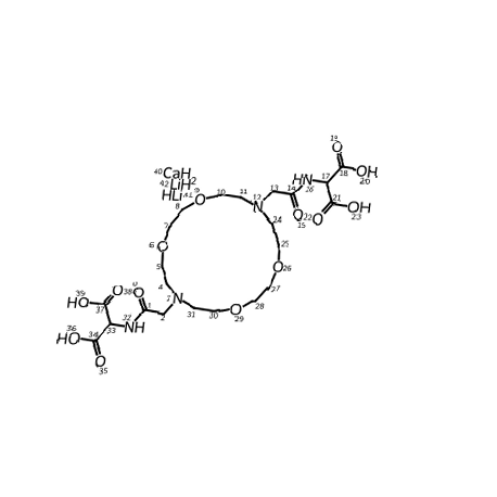 O=C(CN1CCOCCOCCN(CC(=O)NC(C(=O)O)C(=O)O)CCOCCOCC1)NC(C(=O)O)C(=O)O.[CaH2].[LiH].[LiH]